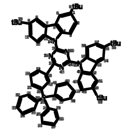 CC(C)(C)c1ccc2c(c1)c1cc(C(C)(C)C)ccc1n2-c1nc(-c2cccc(S(c3ccccc3)(c3ccccc3)c3ccccc3)c2)nc(-n2c3ccc(C(C)(C)C)cc3c3cc(C(C)(C)C)ccc32)n1